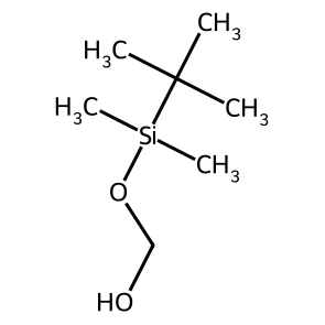 CC(C)(C)[Si](C)(C)OCO